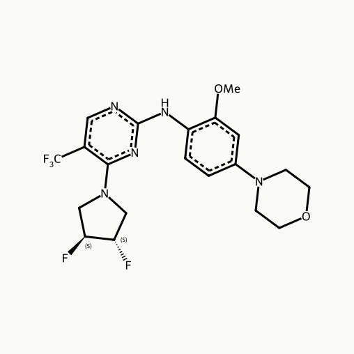 COc1cc(N2CCOCC2)ccc1Nc1ncc(C(F)(F)F)c(N2C[C@H](F)[C@@H](F)C2)n1